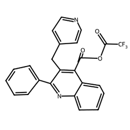 O=C(OC(=O)C(F)(F)F)c1c(Cc2ccncc2)c(-c2ccccc2)nc2ccccc12